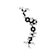 CCN(CC)CCOc1ccc(-c2nn(-c3ccc(NC(=O)Nc4cc(C(C)(C)C)on4)cc3)c3ncnc(N)c23)cc1